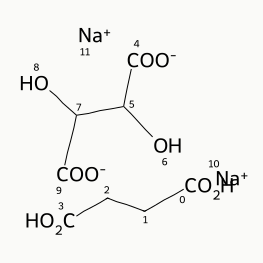 O=C(O)CCC(=O)O.O=C([O-])C(O)C(O)C(=O)[O-].[Na+].[Na+]